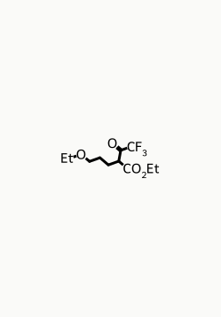 CCOCCCC(C(=O)OCC)C(=O)C(F)(F)F